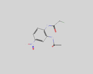 CC(=O)Nc1cc([N+](=O)[O-])ccc1NC(=O)CCl